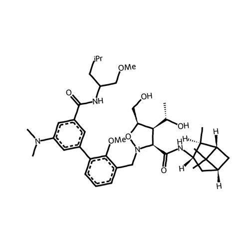 COCC(CC(C)C)NC(=O)c1cc(-c2cccc(CN3O[C@@H](CO)[C@@H]([C@H](C)O)[C@H]3C(=O)N[C@H]3C[C@H]4C[C@@H]([C@@H]3C)C4(C)C)c2OC)cc(N(C)C)c1